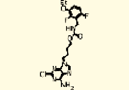 CCOc1ccc(F)c(CNC(=O)OCCCCn2cnc3c(N)nc(Cl)nc32)c1F